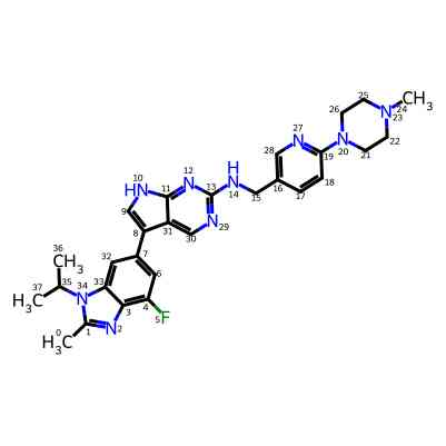 Cc1nc2c(F)cc(-c3c[nH]c4nc(NCc5ccc(N6CCN(C)CC6)nc5)ncc34)cc2n1C(C)C